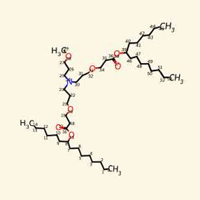 CCCCCCCCC(CCCCCC)OC(=O)CCOCCCN(CCCOC)CCCOCCC(=O)OC(CCCCCC)CCCCCCCC